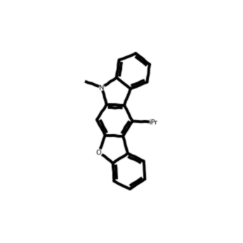 CC(C)c1c2c(cc3c1c1ccccc1n3C)oc1ccccc12